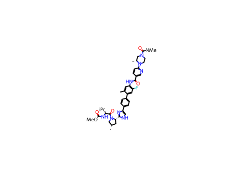 CNC(=O)N1CCN(c2ccc(C(=O)Nc3cc(C)c(-c4ccc(-c5c[nH]c([C@@H]6C[C@H](C)CN6C(=O)[C@@H](NC(=O)OC)C(C)C)n5)cc4)cc3F)cn2)[C@H](C)C1